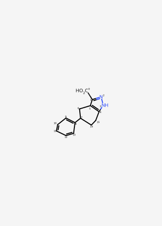 O=C(O)c1n[nH]c2c1CC(c1ccccc1)CC2